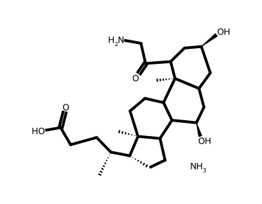 C[C@H](CCC(=O)O)[C@H]1CCC2C3C(CC[C@@]21C)[C@]1(C)C(C[C@H](O)CC1C(=O)CN)C[C@H]3O.N